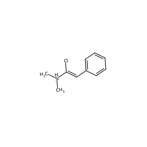 C[SiH](C)C(Cl)=Cc1ccccc1